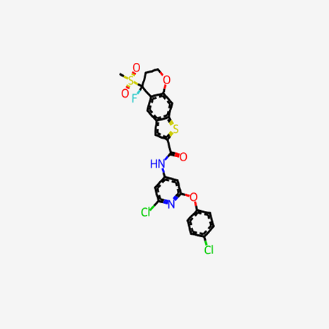 CS(=O)(=O)C1(F)CCOc2cc3sc(C(=O)Nc4cc(Cl)nc(Oc5ccc(Cl)cc5)c4)cc3cc21